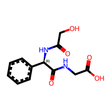 O=C(O)CNC(=O)[C@H](NC(=O)CO)c1ccccc1